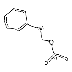 O=[SH](=O)OCNc1ccccc1